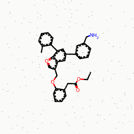 CCOC(=O)Cc1ccccc1OCc1coc2c(-c3ccccc3C)cc(-c3cccc(CN)c3)cc12